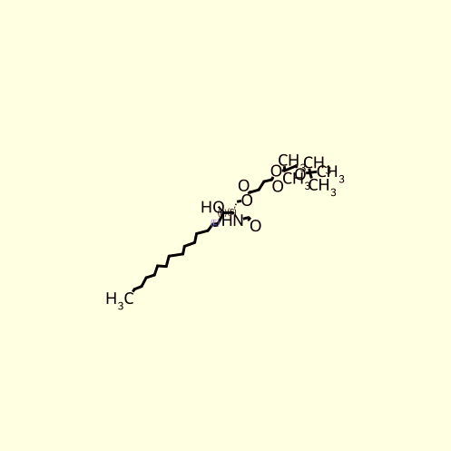 CCCCCCCCCCCCC/C=C/[C@@H](O)[C@H](COC(=O)CCC(=O)OC(C)(C)COC(C)(C)C)NC=O